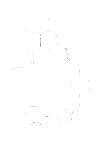 N#Cc1c(N)cc(C(=O)NCC2CCN(Cc3cnc(-c4ccccn4)s3)CC2)nc1NCC1CC1